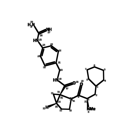 CN[C@H](CC1CCCCC1)C(=O)N1CC[C@@H]2C[C@@]21C(=O)NCc1ccc(NC(=N)N)cc1